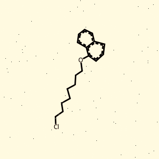 ClCCCCCCCCOc1cccc2ccccc12